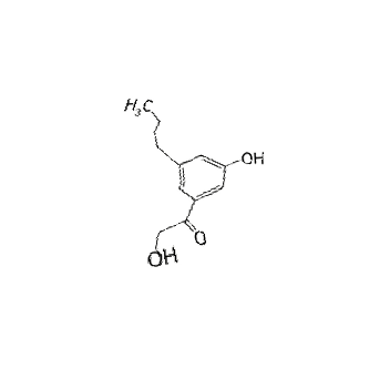 CCCc1cc(O)cc(C(=O)CO)c1